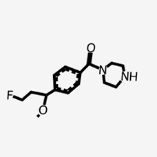 COC(CCF)c1ccc(C(=O)N2CCNCC2)cc1